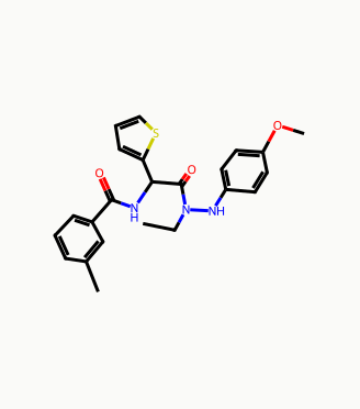 CCN(Nc1ccc(OC)cc1)C(=O)C(NC(=O)c1cccc(C)c1)c1cccs1